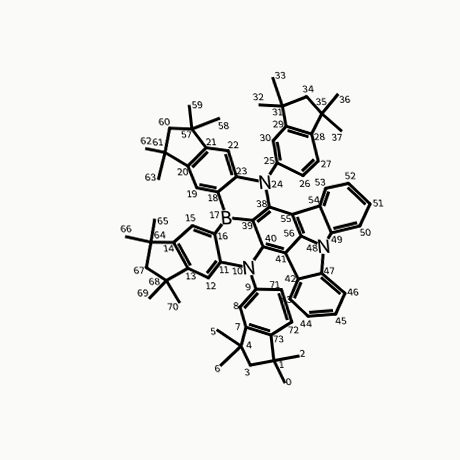 CC1(C)CC(C)(C)c2cc(N3c4cc5c(cc4B4c6cc7c(cc6N(c6ccc8c(c6)C(C)(C)CC8(C)C)c6c4c3c3c4ccccc4n4c8ccccc8c6c34)C(C)(C)CC7(C)C)C(C)(C)CC5(C)C)ccc21